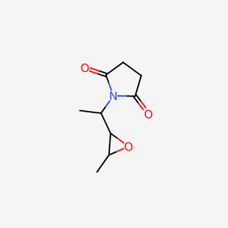 CC1OC1C(C)N1C(=O)CCC1=O